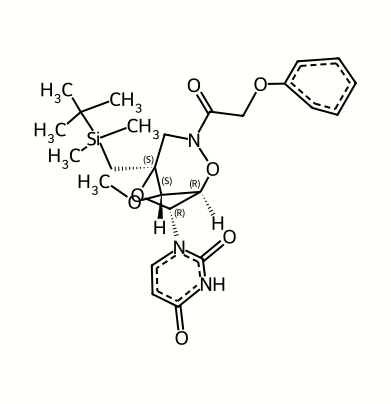 CO[C@H]1[C@H]2ON(C(=O)COc3ccccc3)C[C@]1(C[Si](C)(C)C(C)(C)C)O[C@H]2n1ccc(=O)[nH]c1=O